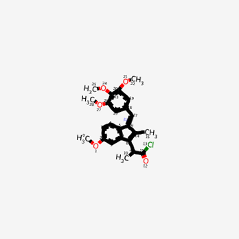 COc1ccc2c(c1)C(C(C)C(=O)Cl)=C(C)/C2=C/c1cc(OC)c(OC)c(OC)c1